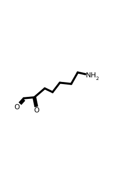 NCCCCCC(=O)C=O